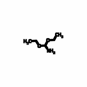 CCO[C](N)OCC